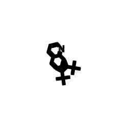 CC(C)(C)C1c2cc(c3ncccc3c2)C1C(C)(C)C